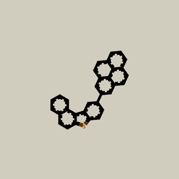 c1ccc2c(c1)ccc1sc3ccc(-c4cc5ccc6cccc7ccc(c4)c5c67)cc3c12